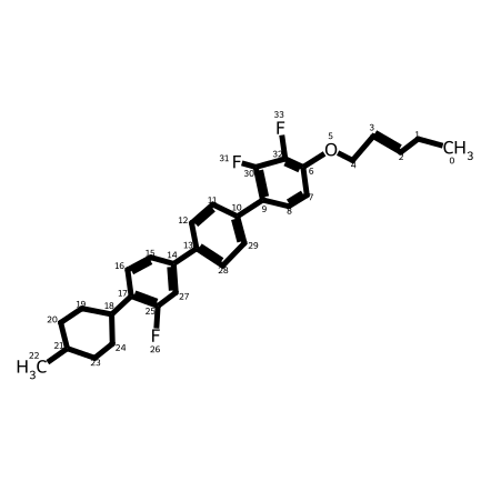 CC/C=C/COc1ccc(-c2ccc(-c3ccc(C4CCC(C)CC4)c(F)c3)cc2)c(F)c1F